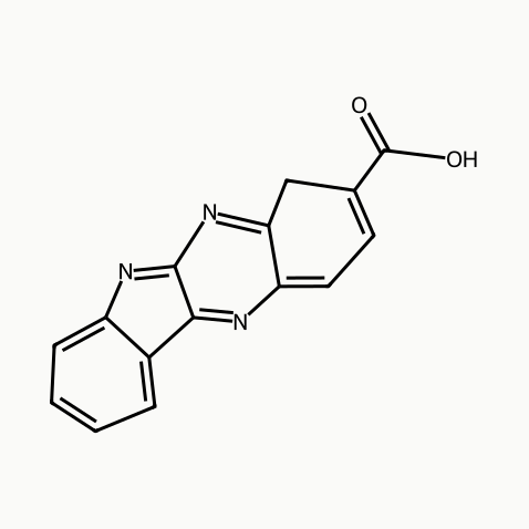 O=C(O)C1=CC=c2nc3c(nc2C1)=Nc1ccccc1-3